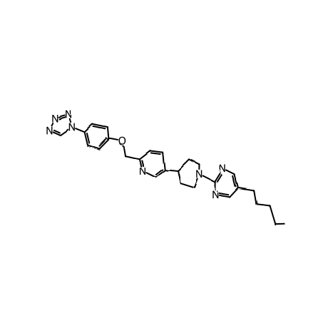 CCCCCc1cnc(N2CCC(c3ccc(COc4ccc(-n5cnnn5)cc4)nc3)CC2)nc1